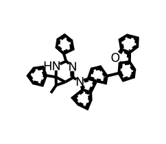 CC1C2C(n3c4ccccc4c4cc(-c5cccc6c5oc5ccccc56)ccc43)=NC(c3ccccc3)NC12c1ccccc1